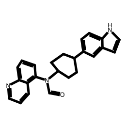 O=CN(c1cccc2ncccc12)C1CCC(c2ccc3[nH]ccc3c2)CC1